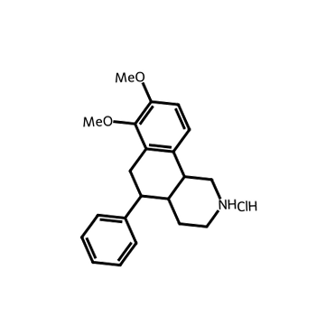 COc1ccc2c(c1OC)CC(c1ccccc1)C1CCNCC21.Cl